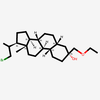 CCOC[C@@]1(O)CC[C@H]2[C@H](CC[C@@H]3[C@@H]2CC[C@]2(C)[C@@H](C(C)CBr)CC[C@@H]32)C1